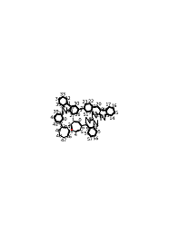 C1=CC=CC=CC=1c1nc(-n2c3nc4ccccc4c-3cc3ccc(-c4ccc5c(c4)c4ccccc4n5-c4cccc(C5=CC=CCCC5)c4)cc32)nc2ccccc12